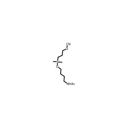 CC(=O)NCCCCO[Si](C)(C)CCCOC#N